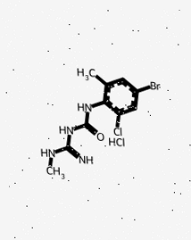 CNC(=N)NC(=O)Nc1c(C)cc(Br)cc1Cl.Cl